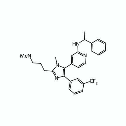 CNCCCc1nc(-c2cccc(C(F)(F)F)c2)c(-c2ccnc(NC(C)c3ccccc3)c2)n1C